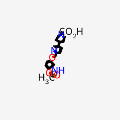 CS(=O)(=O)Nc1cccc(OCc2ccc(C3CCN(C(=O)O)CC3)cn2)c1